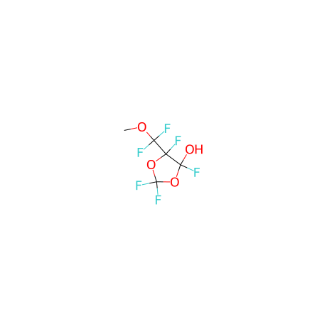 COC(F)(F)C1(F)OC(F)(F)OC1(O)F